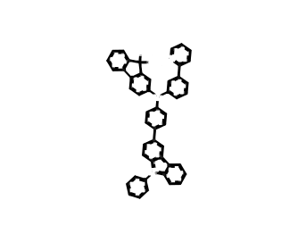 CC1(C)c2ccccc2-c2ccc(N(c3ccc(-c4ccc5c(c4)c4ccccc4n5-c4ccccc4)cc3)c3cccc(-c4ccccn4)c3)cc21